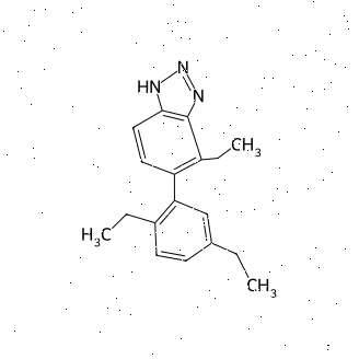 CCc1ccc(CC)c(-c2ccc3[nH]nnc3c2CC)c1